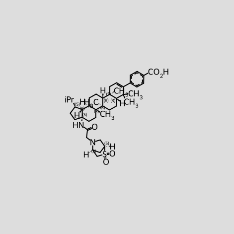 CC(C)[C@@H]1CC[C@]2(NC(=O)CN3C[C@@H]4C[C@H]3CS4(=O)=O)CC[C@]3(C)[C@H](CC[C@@H]4[C@@]5(C)CC=C(c6ccc(C(=O)O)cc6)C(C)(C)[C@@H]5CC[C@]43C)[C@@H]12